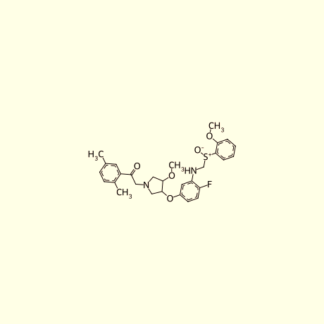 COc1ccccc1[S+]([O-])CNc1cc(OC2CN(CC(=O)c3cc(C)ccc3C)CC2OC)ccc1F